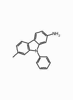 Cc1ccc2c3ccc(N)cc3n(-c3ccccc3)c2c1